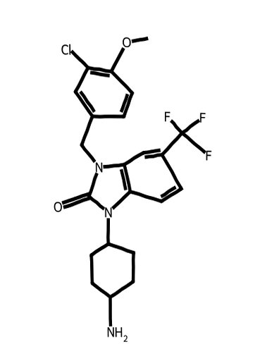 COc1ccc(Cn2c(=O)n(C3CCC(N)CC3)c3ccc(C(F)(F)F)cc32)cc1Cl